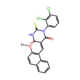 CCOc1ccc2ccccc2c1/C=C1\C(=O)NC(=S)N(c2cccc(Cl)c2Cl)C1=O